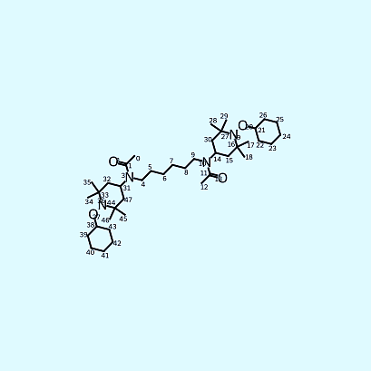 CC(=O)N(CCCCCCN(C(C)=O)C1CC(C)(C)N(OC2CCCCC2)C(C)(C)C1)C1CC(C)(C)N(OC2CCCCC2)C(C)(C)C1